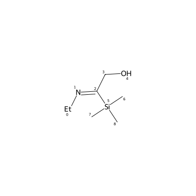 CCN=C(CO)[Si](C)(C)C